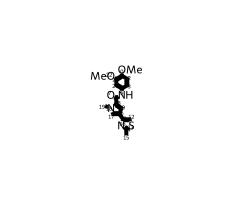 COc1ccc(NC(=O)c2cc(-c3csc(C)n3)cn2C)cc1OC